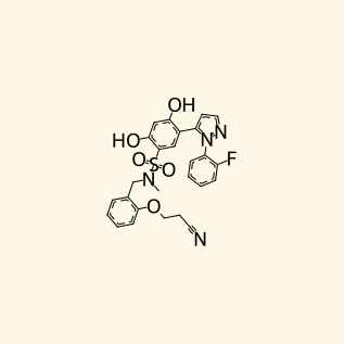 CN(Cc1ccccc1OCCC#N)S(=O)(=O)c1cc(-c2ccnn2-c2ccccc2F)c(O)cc1O